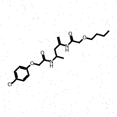 C=C(CC(C)NC(=O)COc1ccc(Cl)cc1)NC(=O)COCCCC